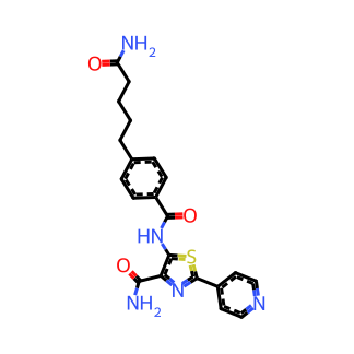 NC(=O)CCCCc1ccc(C(=O)Nc2sc(-c3ccncc3)nc2C(N)=O)cc1